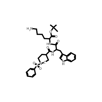 CC(C)(C)OC(=O)C(CCCCN)NC(=O)C(Cc1c[nH]c2ccccc12)NC(=O)C1CCN(S(=O)(=O)c2ccccc2)CC1